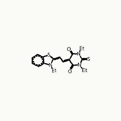 CCN1C(=O)C(=CC=C2Sc3ccccc3N2CC)C(=O)N(CC)C1=S